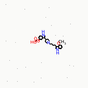 COc1cccc2[nH]cc(CCCCN3CCC(c4c[nH]c5ccc(OC(=O)O)cc45)CC3)c12